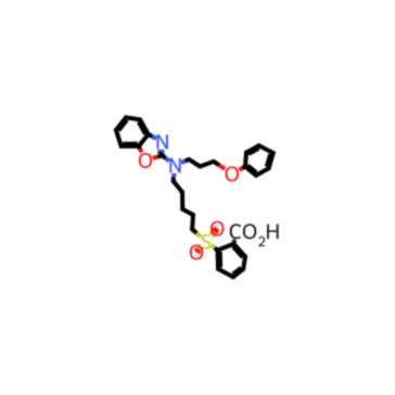 O=C(O)c1ccccc1S(=O)(=O)CCCCCN(CCCOc1ccccc1)c1nc2ccccc2o1